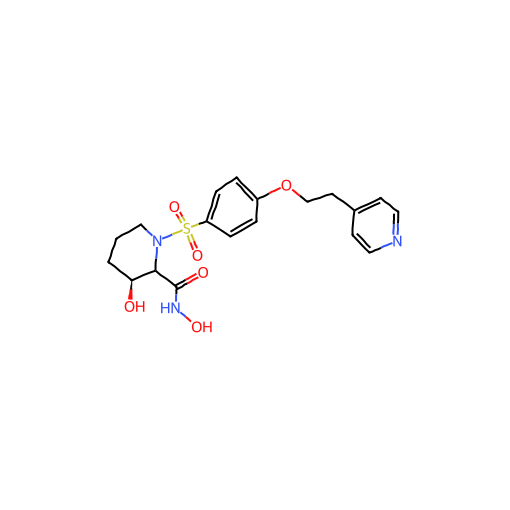 O=C(NO)C1[C@@H](O)CCCN1S(=O)(=O)c1ccc(OCCc2ccncc2)cc1